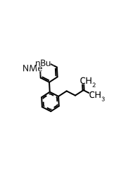 C=C(C)CCc1ccccc1C(/C=C\CCCC)=C/NC